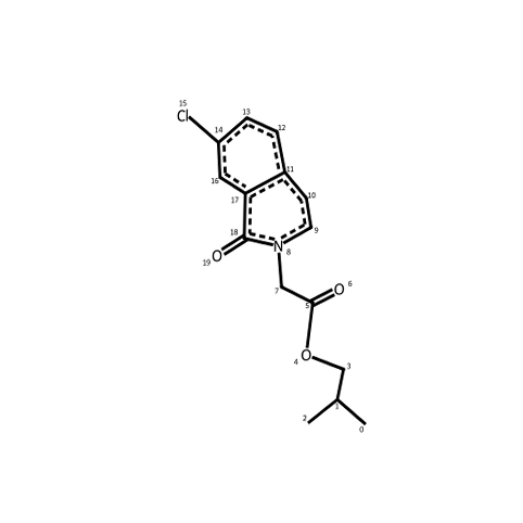 CC(C)COC(=O)Cn1ccc2ccc(Cl)cc2c1=O